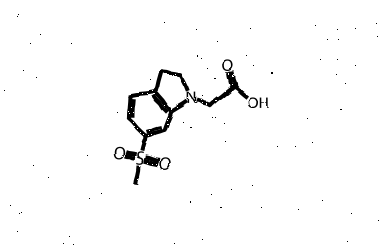 CS(=O)(=O)c1ccc2c(c1)N(CC(=O)O)CC2